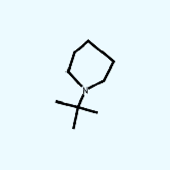 CC(C)(C)N1[CH]CCCC1